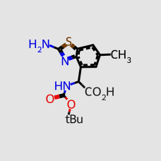 Cc1cc(C(NC(=O)OC(C)(C)C)C(=O)O)c2nc(N)sc2c1